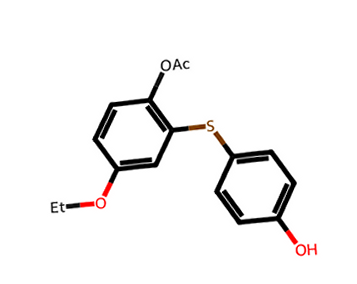 CCOc1ccc(OC(C)=O)c(Sc2ccc(O)cc2)c1